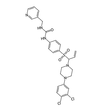 C=CC(N1CCN(c2ccc(Cl)c(Cl)c2)CC1)S(=O)(=O)c1ccc(NC(=O)NCc2cccnc2)cc1